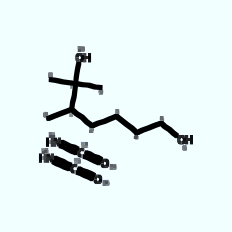 CC(CCCCO)C(C)(C)O.N=C=O.N=C=O